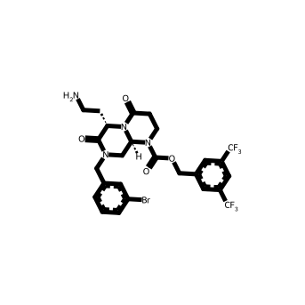 NCC[C@H]1C(=O)N(Cc2cccc(Br)c2)C[C@@H]2N(C(=O)OCc3cc(C(F)(F)F)cc(C(F)(F)F)c3)CCC(=O)N21